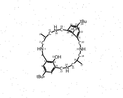 CC1CNCc2cc(C(C)(C)C)cc(c2O)CNCC(C)CNCc2cc(C(C)(C)C)cc(c2O)CNC1